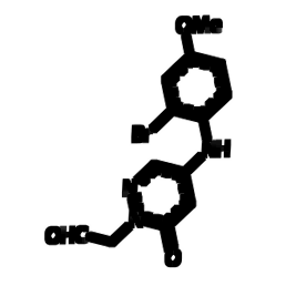 COc1ccc(Nc2cnn(CC=O)c(=O)c2)c(Br)c1